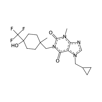 Cn1c(=O)n(CC2(C)CCC(O)(C(F)(F)F)CC2)c(=O)c2c1ncn2CC1CC1